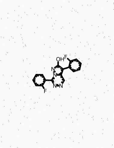 Oc1nn2c(-c3ccccc3F)nncc2c1-c1ccccc1F